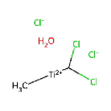 O.[CH3][Ti+2][CH](Cl)Cl.[Cl-].[Cl-]